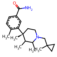 Cc1ccc(C(N)=O)cc1[C@]1(C)CCN(CC2(C)CC2)C(C)C1C